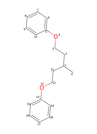 CC(CCOc1ccccc1)CCOc1ccccc1